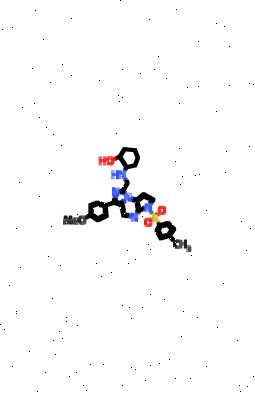 COc1ccc(-c2nc(CNC3CCCCC3O)n3c2cnc2c3ccn2S(=O)(=O)c2ccc(C)cc2)cc1